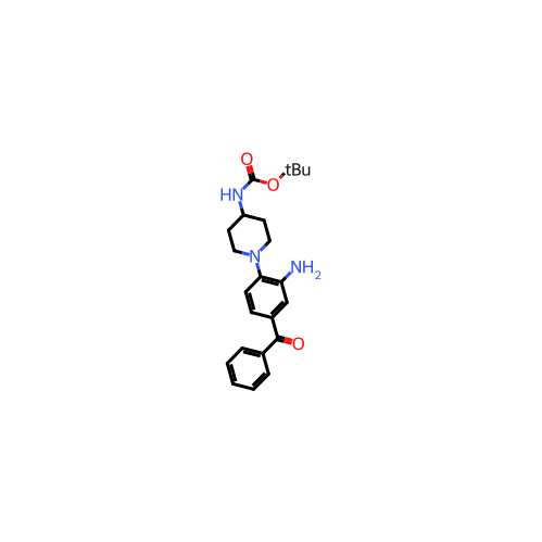 CC(C)(C)OC(=O)NC1CCN(c2ccc(C(=O)c3ccccc3)cc2N)CC1